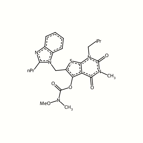 CCCc1nc2ccccc2n1Cc1sc2c(c1OC(=O)N(C)OC)c(=O)n(C)c(=O)n2CC(C)C